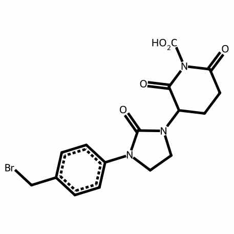 O=C(O)N1C(=O)CCC(N2CCN(c3ccc(CBr)cc3)C2=O)C1=O